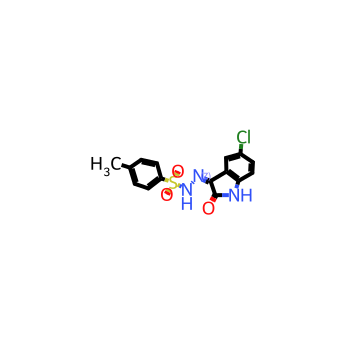 Cc1ccc(S(=O)(=O)N/N=C2\C(=O)Nc3ccc(Cl)cc32)cc1